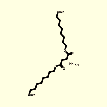 CCCCCCCCCCCCCCCCCCOC(=O)CCC(=O)OCCCCCCCCCCCCCCCCCC.[KH].[KH]